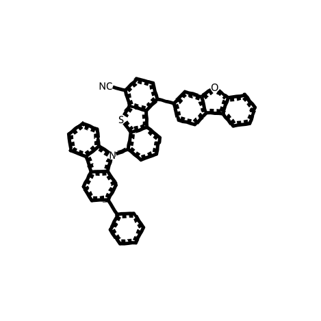 N#Cc1ccc(-c2ccc3c(c2)oc2ccccc23)c2c1sc1c(-n3c4ccccc4c4ccc(-c5ccccc5)cc43)cccc12